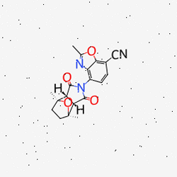 Cc1nc2c(N3C(=O)[C@@H]4[C@H](C3=O)[C@@]3(C)CC[C@]4(C)O3)ccc(C#N)c2o1